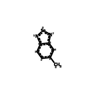 Cc1ccc2n[se]nc2c1